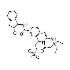 CCC1(CC)CC(=O)N([C@H](CCS(C)(=O)=O)c2cccc(C(=O)N[C@@H]3c4ccccc4C[C@H]3O)c2)C(=N)N1